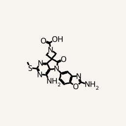 CSc1nc(N)c2c(n1)C1(CN(C(=O)O)C1)C(=O)N2c1ccc2oc(N)nc2c1